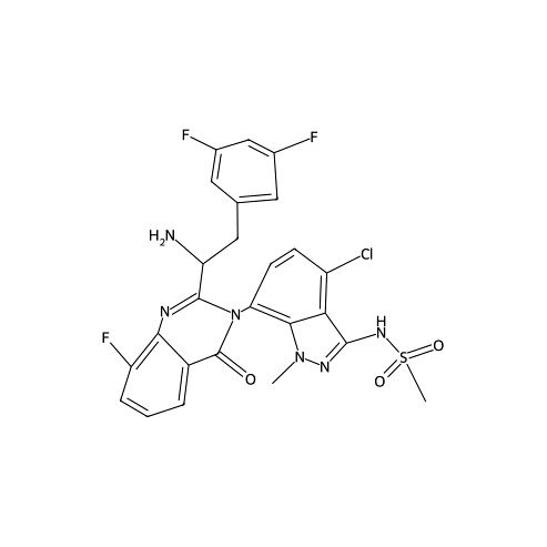 Cn1nc(NS(C)(=O)=O)c2c(Cl)ccc(-n3c(C(N)Cc4cc(F)cc(F)c4)nc4c(F)cccc4c3=O)c21